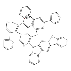 c1ccc(-c2nc(Cc3cc(-c4c(-c5ccccc5)cccc4-c4ccccc4)cnc3-n3c4ccccc4c4cc5c(cc43)oc3ccccc35)nc(-c3ccccc3)n2)cc1